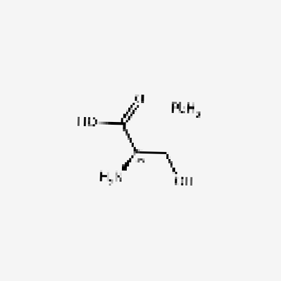 N[C@H](CO)C(=O)O.[PbH2]